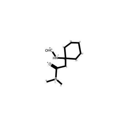 CN(C)C(=O)CC1(NC=O)CCCCC1